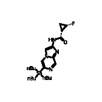 CCC[CH2][Sn]([CH2]CCC)([CH2]CCC)[c]1cn2cc(NC(=O)[C@@H]3C[C@@H]3F)nc2cn1